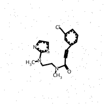 CN(CCN(C)c1nccs1)C(=O)C#Cc1cccc(Cl)c1